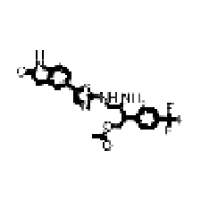 CC(=O)OCC(c1ccc(C(F)(F)F)cc1)C(N)CNc1ncc(-c2ccc3c(c2)CC(=O)N3)s1